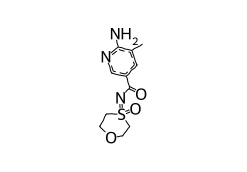 Cc1cc(C(=O)N=S2(=O)CCOCC2)cnc1N